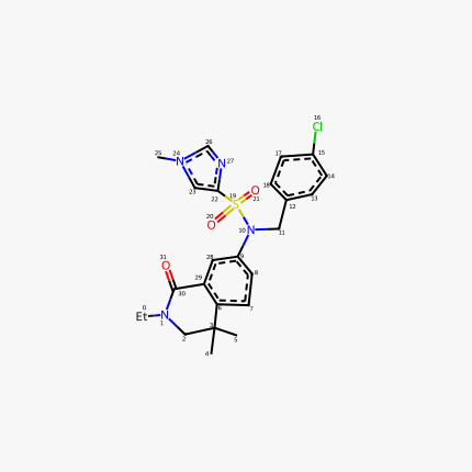 CCN1CC(C)(C)c2ccc(N(Cc3ccc(Cl)cc3)S(=O)(=O)c3cn(C)cn3)cc2C1=O